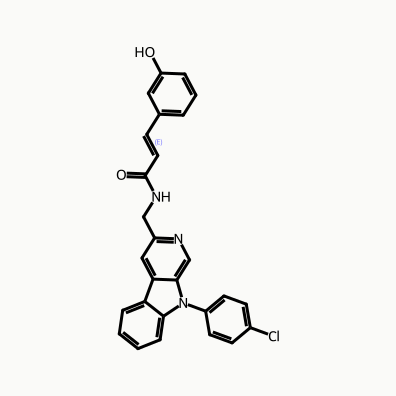 O=C(/C=C/c1cccc(O)c1)NCc1cc2c3ccccc3n(-c3ccc(Cl)cc3)c2cn1